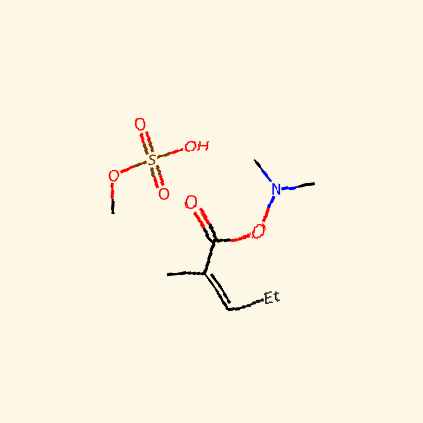 CCC=C(C)C(=O)ON(C)C.COS(=O)(=O)O